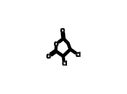 O=C1CC(Cl)C(Cl)C(=O)O1